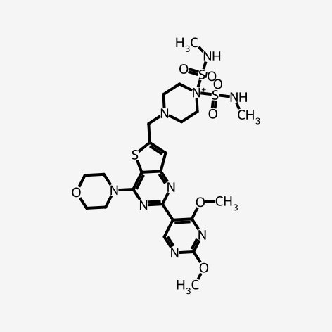 CNS(=O)(=O)[N+]1(S(=O)(=O)NC)CCN(Cc2cc3nc(-c4cnc(OC)nc4OC)nc(N4CCOCC4)c3s2)CC1